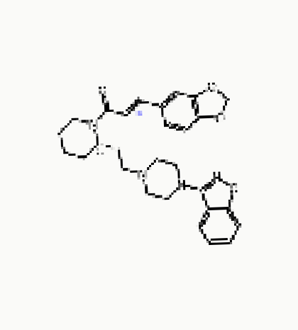 O=C(/C=C/c1ccc2c(c1)OCO2)N1CCCC[C@H]1CCN1CCN(c2noc3ccccc23)CC1